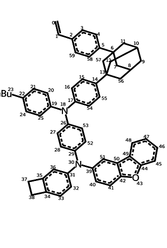 C=Cc1ccc(C23CC4CC(C2)CC(c2ccc(N(c5ccc(CCCC)cc5)c5ccc(N(c6ccc7c(c6)CC7)c6ccc7oc8ccccc8c7c6)cc5)cc2)(C4)C3)cc1